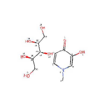 Cn1ccc(=O)c(O)c1.OC[C@@H](O)[C@H](O)[C@@H](O)CO